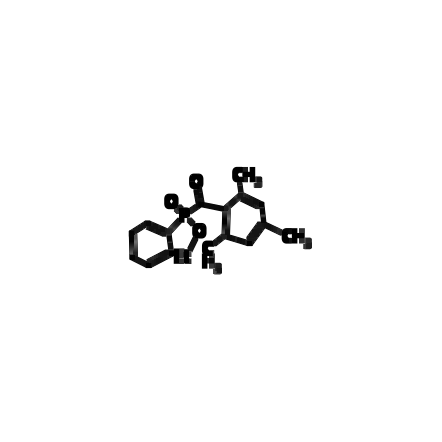 CCOP(=O)(C(=O)c1c(C)cc(C)cc1C)c1ccccc1